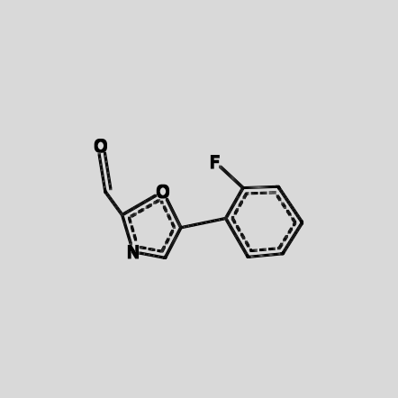 O=Cc1ncc(-c2ccccc2F)o1